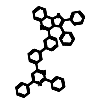 c1ccc(-c2cc(-c3cccc(-c4cccc(-c5nc6ccccc6c6sc(-c7ccccc7)c(-c7ccccc7)c56)c4)c3)nc(-c3ccccc3)n2)cc1